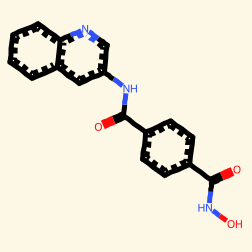 O=C(NO)c1ccc(C(=O)Nc2cnc3ccccc3c2)cc1